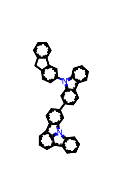 c1ccc2c(c1)Cc1ccc(-n3c4ccccc4c4ccc(-c5ccc6c7cccc8c9ccccc9n(c6c5)c87)cc43)cc1-2